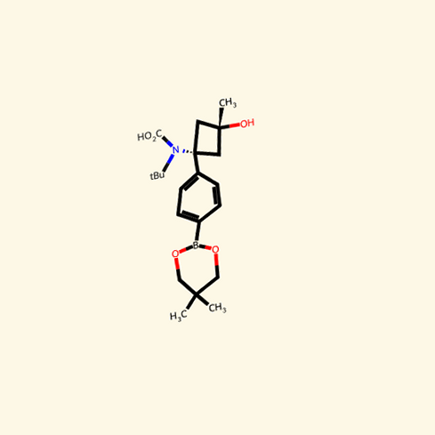 CC1(C)COB(c2ccc([C@]3(N(C(=O)O)C(C)(C)C)C[C@@](C)(O)C3)cc2)OC1